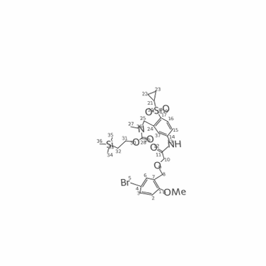 COc1ccc(Br)cc1COCC(=O)Nc1ccc(S(=O)(=O)C2CC2)c(CN(C)C(=O)OCC[Si](C)(C)C)c1